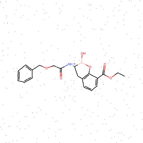 CCOC(=O)c1cccc2c1OB(O)[C@@H](NC(=O)COCc1ccccc1)C2